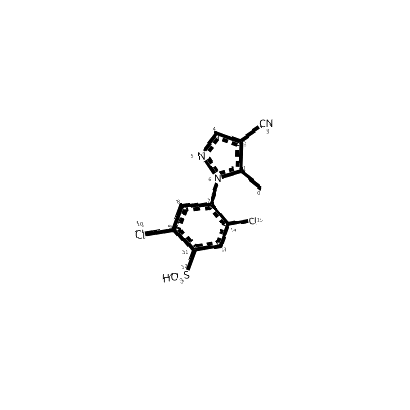 Cc1c(C#N)cnn1-c1cc(Cl)c(S(=O)(=O)O)cc1Cl